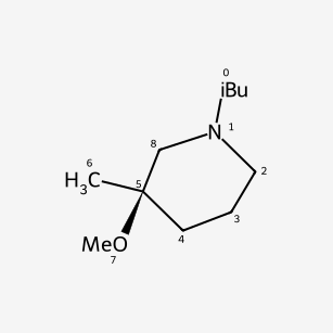 CCC(C)N1CCC[C@@](C)(OC)C1